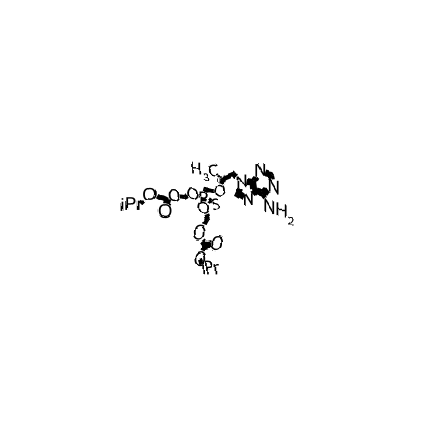 CC(C)OC(=O)OCOP(=S)(CO[C@H](C)Cn1cnc2c(N)ncnc21)OCOC(=O)OC(C)C